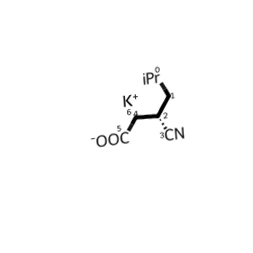 CC(C)C[C@H](C#N)CC(=O)[O-].[K+]